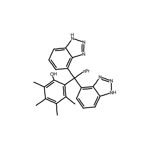 CCCC(c1c(C)c(C)c(C)c(C)c1O)(c1cccc2[nH]nnc12)c1cccc2[nH]nnc12